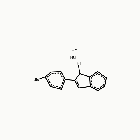 CC(C)(C)c1ccc(C2=Cc3ccccc3[CH]2[Hf])cc1.Cl.Cl